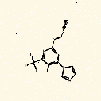 C#CCOc1nc(-n2ccnc2)c(I)c(C(F)(F)F)n1